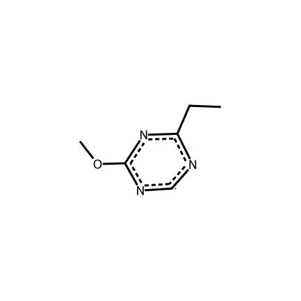 CCc1n[c]nc(OC)n1